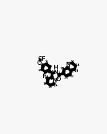 O=C(NC(c1ccc(OC(F)(F)F)cc1)c1ncccc1F)c1ccc2cccnc2c1